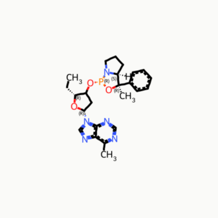 CC[C@H]1O[C@@H](n2cnc3c(C)ncnc32)CC1O[P@@]1O[C@](C)(c2ccccc2)[C@@H]2CCCN21